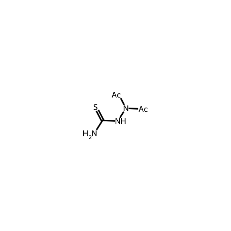 CC(=O)N(NC(N)=S)C(C)=O